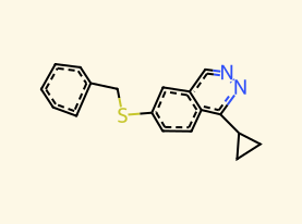 c1ccc(CSc2ccc3c(C4CC4)nncc3c2)cc1